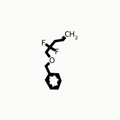 C=CCC(F)(F)COCc1ccccc1